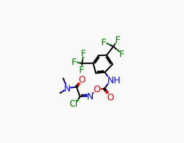 CN(C)C(=O)/C(Cl)=N\OC(=O)Nc1cc(C(F)(F)F)cc(C(F)(F)F)c1